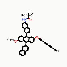 C#CC#CC#CC#COc1ccc2c(-c3ccc4ccccc4c3)c3cc(OCCCCCCCC)ccc3c(-c3ccc4cc(NC(=O)C(C)(C)CC)ccc4c3)c2c1